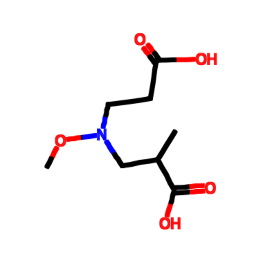 CON(CCC(=O)O)CC(C)C(=O)O